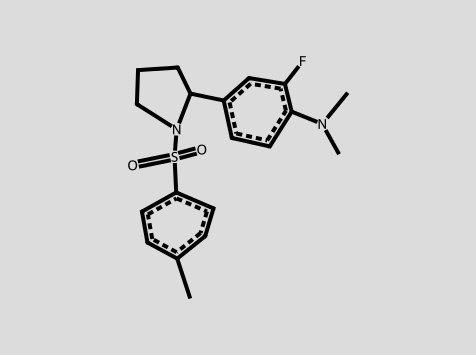 Cc1ccc(S(=O)(=O)N2CCCC2c2ccc(N(C)C)c(F)c2)cc1